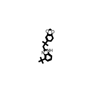 CC(C)(Cc1nc2c(C(C)(C)C)cccc2[nH]1)C1=CC2=C(CC1)OCO2